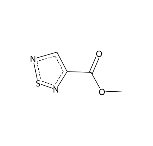 COC(=O)c1cnsn1